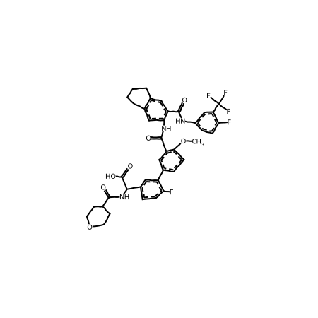 COc1ccc(-c2cc(C(NC(=O)C3CCOCC3)C(=O)O)ccc2F)cc1C(=O)Nc1cc2c(cc1C(=O)Nc1ccc(F)c(C(F)(F)F)c1)CCCC2